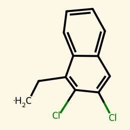 [CH2]Cc1c(Cl)c(Cl)cc2ccccc12